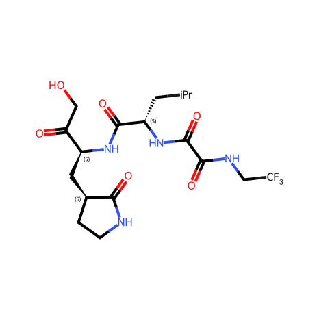 CC(C)C[C@H](NC(=O)C(=O)NCC(F)(F)F)C(=O)N[C@@H](C[C@@H]1CCNC1=O)C(=O)CO